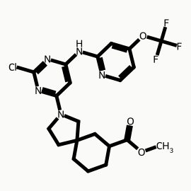 COC(=O)C1CCCC2(CCN(c3cc(Nc4cc(OC(F)(F)F)ccn4)nc(Cl)n3)C2)C1